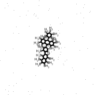 Bc1c(B)c(B)c(-c2c3c(B)c(B)c(B)c(B)c3c(-c3cc4oc5c(B)c6c(B)c(B)c(B)c(B)c6c(B)c5c4c(B)c3B)c3c(B)c(B)c(B)c(B)c23)c(B)c1B